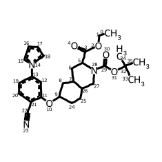 CCOC(=O)C1CC2CC(Oc3cc(-n4cccc4)ccc3C#N)CCC2CN1C(=O)OC(C)(C)C